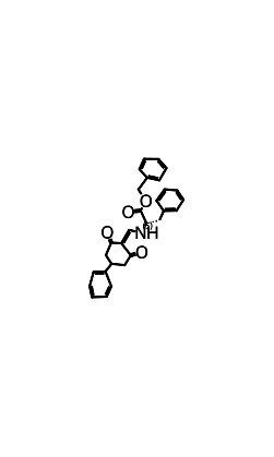 O=C1CC(c2ccccc2)CC(=O)C1=CN[C@@H](Cc1ccccc1)C(=O)OCc1ccccc1